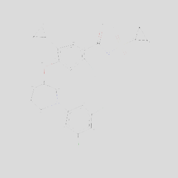 O=C(NS(=O)(=O)C1CC1)c1cc(C2CC2)c(OC2CCCN(c3cc(Cl)cc(Cl)c3)C2)cc1F